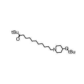 CC(C)(C)OC1CCN(CCCCCCCCCCC(=O)C(C)(C)C)CC1